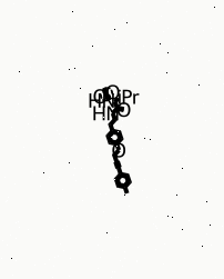 Cc1ccc(C#CCOc2ccc(CCNC(=O)C(NS(C)(=O)=O)C(C)C)cc2)cc1